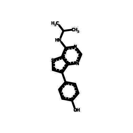 CC(C)Nc1ncnc2c(-c3ccc(O)cc3)csc12